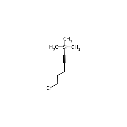 C[Si](C)(C)C#CCCCCl